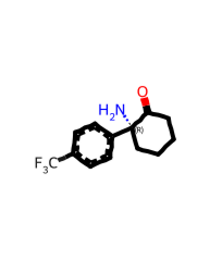 N[C@@]1(c2ccc(C(F)(F)F)cc2)CCCCC1=O